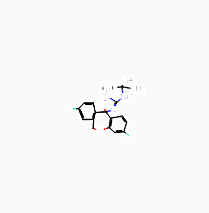 CN1OC2(N=C1NC(C)(C)C)c1ccc(F)cc1COc1cc(F)ccc12